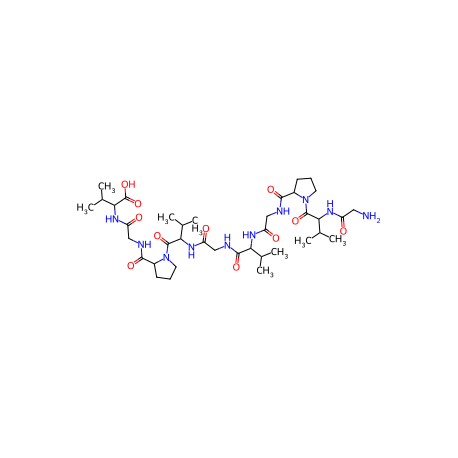 CC(C)C(NC(=O)CNC(=O)C1CCCN1C(=O)C(NC(=O)CNC(=O)C(NC(=O)CNC(=O)C1CCCN1C(=O)C(NC(=O)CN)C(C)C)C(C)C)C(C)C)C(=O)O